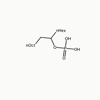 CCCCCCCCCC(CCCCCC)OP(=O)(O)O